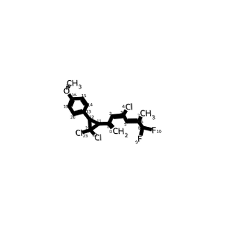 C=C(/C=C(Cl)\C=C(/C)C(F)F)C1C(c2ccc(OC)cc2)C1(Cl)Cl